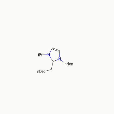 CCCCCCCCCCCC1N(CCCCCCCCC)C=CN1C(C)C